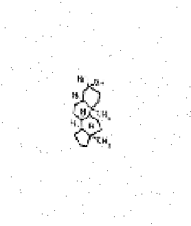 C[C@@]12CCC[C@H]1[C@@H]1CC[C@H]3CC(O)(O)CC[C@]3(C)[C@H]1CC2